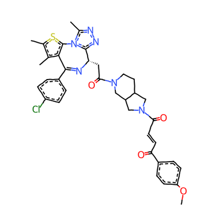 COc1ccc(C(=O)/C=C/C(=O)N2CC3CCN(C(=O)C[C@@H]4N=C(c5ccc(Cl)cc5)c5c(sc(C)c5C)-n5c(C)nnc54)CC3C2)cc1